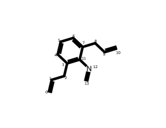 C=CCc1cccc(CC=C)c1N=C